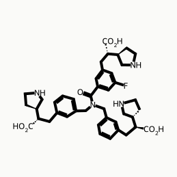 O=C(O)[C@@H](Cc1cccc(CN(Cc2cccc(C[C@H](C(=O)O)[C@H]3CCNC3)c2)C(=O)c2cc(F)cc(C[C@H](C(=O)O)[C@H]3CCNC3)c2)c1)[C@H]1CCNC1